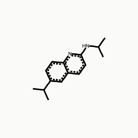 CC(C)Nc1ccc2cc(C(C)C)ccc2n1